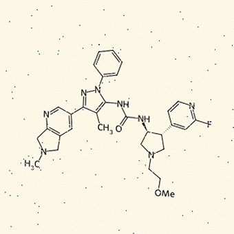 COCCN1C[C@@H](NC(=O)Nc2c(C)c(-c3cnc4c(c3)CN(C)C4)nn2-c2ccccc2)[C@H](c2ccnc(F)c2)C1